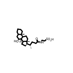 C[C@@H](CCC(=O)NCCS(=O)(=O)O)[C@H]1CCC2[C@H]3C(CC[C@@]21C)[C@@]1(C)CCCCC1C[C@@H]3O